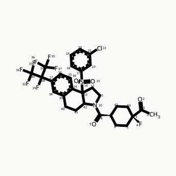 CC(=O)[C@]1(F)CC[C@@H](C(=O)N2CCC3(S(=O)(=O)c4cccc(Cl)c4)c4ccc(C(F)(C(F)(F)F)C(F)(F)F)cc4CCC23)CC1